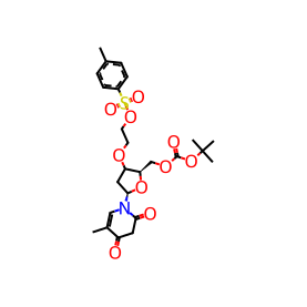 CC1=CN([C@H]2CC(OCCOS(=O)(=O)c3ccc(C)cc3)[C@@H](COC(=O)OC(C)(C)C)O2)C(=O)CC1=O